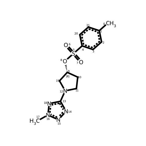 Cc1ccc(S(=O)(=O)O[C@@H]2CCN(c3nnn(C)n3)C2)cc1